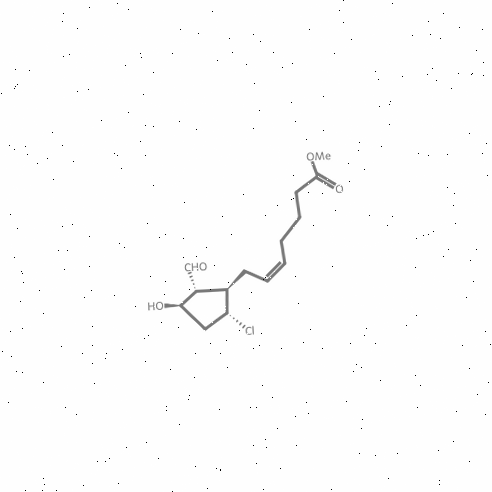 COC(=O)CCC/C=C\C[C@@H]1[C@@H](C=O)[C@H](O)C[C@H]1Cl